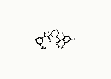 Cc1cc(F)cc(F)c1C(=O)N1CCC[C@](I)(C(=O)Nc2cccc(C(C)(C)C)c2)C1